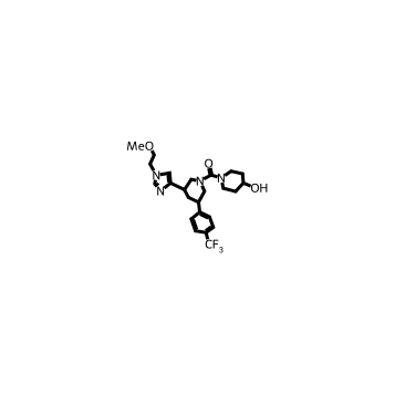 COCCn1cnc(C2CC(c3ccc(C(F)(F)F)cc3)CN(C(=O)N3CCC(O)CC3)C2)c1